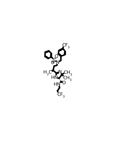 C=C(CCN(Cc1ccc(C(F)(F)F)cc1)S(=O)(=O)c1ccccc1)C1=NC(C)(C)[C@H](C(=O)NCCC(F)(F)F)N1